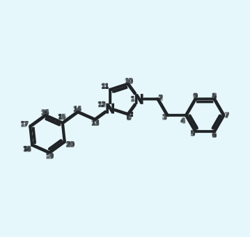 [C]1N(CCc2ccccc2)C=CN1CCc1ccccc1